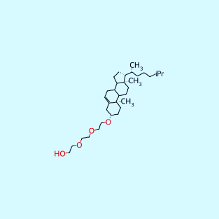 CC(C)CCC[C@@H](C)[C@H]1CCC2C3CC=C4C[C@@H](OCCOCCOCCO)CC[C@]4(C)C3CC[C@@]21C